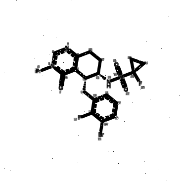 CC(C)n1cnc2c(c1=O)[C@@H](Cc1cccc(Br)c1F)[C@@H](NS(=O)(=O)C1(F)CC1)CC2